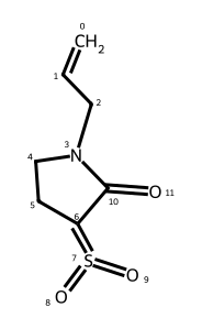 C=CCN1CCC(=S(=O)=O)C1=O